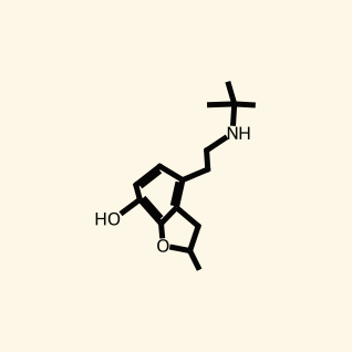 CC1Cc2c(CCNC(C)(C)C)ccc(O)c2O1